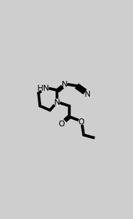 CCOC(=O)CN1CCCNC1=NC#N